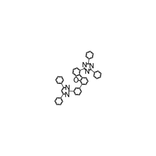 c1ccc(-c2cc(-c3ccccc3)nc(-c3cccc(-c4cccc5c4oc4cccc(-c6nc(-c7ccccc7)nc(-c7ccccc7)n6)c45)c3)n2)cc1